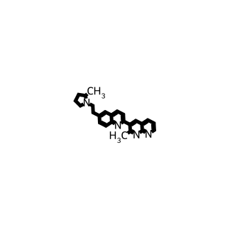 Cc1nc2ncccc2cc1-c1ccc2cc(CCN3CCCC3C)ccc2n1